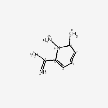 CC1C=CC=C(C(=N)N)N1N